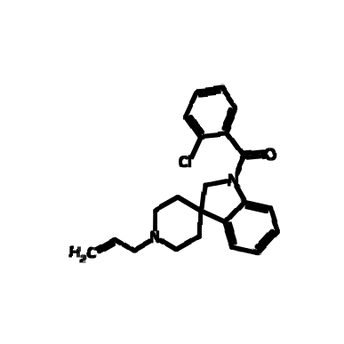 C=CCN1CCC2(CC1)CN(C(=O)c1ccccc1Cl)c1ccccc12